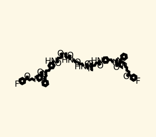 CN(CC(=O)NCCOCCNC(=O)CN(C)C(=O)CCC(=O)Nc1ccc(CCN2CN(c3ccccc3)C3(CCN(CCCC(=O)c4ccc(F)cc4)CC3)C2=O)cc1)C(=O)CCC(=O)Nc1ccc(CCN2CN(c3ccccc3)C3(CCN(CCCC(=O)c4ccc(F)cc4)CC3)C2=O)cc1